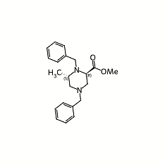 COC(=O)[C@H]1CN(Cc2ccccc2)C[C@H](C)N1Cc1ccccc1